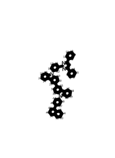 c1ccc(-c2cc(-c3ccccc3)nc(-c3cccc(-n4c5ccccc5c5cc(-c6ccc7c(c6)c6ccccc6n7-c6ccc(-c7cccc8ccccc78)cc6)ccc54)c3)n2)cc1